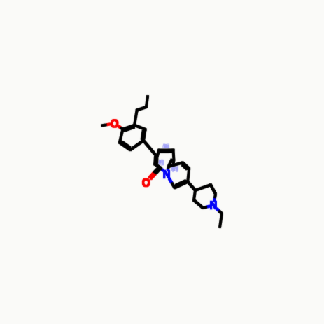 CCCc1cc(C2=C\C(=O)N3C=C(C4CCN(CC)CC4)C=C\C3=C/C=C/2)ccc1OC